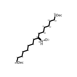 CCCCCCCCCCCCCCCCCC(CCCCCCCCCCCCCCCC)=[NH+][O-]